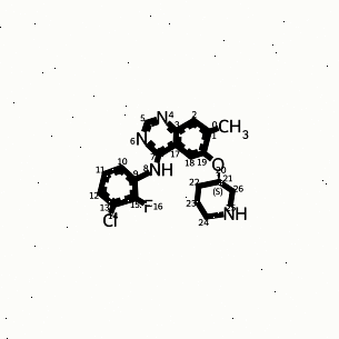 Cc1cc2ncnc(Nc3cccc(Cl)c3F)c2cc1O[C@H]1CCCNC1